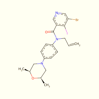 C=CCN(C(=O)c1cncc(Br)c1I)c1ccc(N2C[C@@H](C)O[C@@H](C)C2)cc1